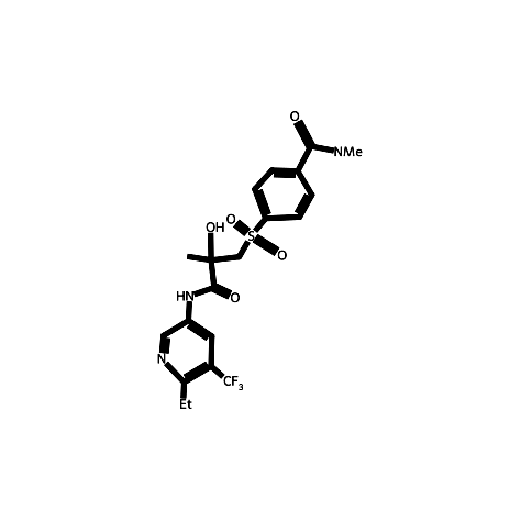 CCc1ncc(NC(=O)C(C)(O)CS(=O)(=O)c2ccc(C(=O)NC)cc2)cc1C(F)(F)F